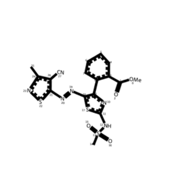 COC(=O)c1ccccc1-c1nc(NS(C)(=O)=O)sc1/N=N/c1snc(C)c1C#N